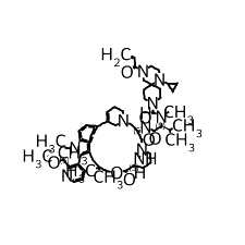 C=CC(=O)N1CCN(C2CC2)C2(CCN(C(=O)N(C)[C@H](C(=O)N[C@H]3CN4CCC=C(C4)c4ccc5c(c4)c(c(-c4cccnc4[C@H](C)OC)n5CC)CC(C)(C)COC(=O)[C@@H]4CCCN(N4)C3=O)C(C)C)CC2)C1